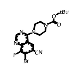 CC(C)(C)OC(=O)N1CCN(c2ncnc3c(F)c(Br)c(C#N)cc23)CC1